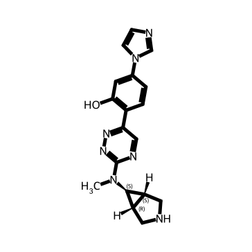 CN(c1ncc(-c2ccc(-n3ccnc3)cc2O)nn1)[C@H]1[C@@H]2CNC[C@@H]21